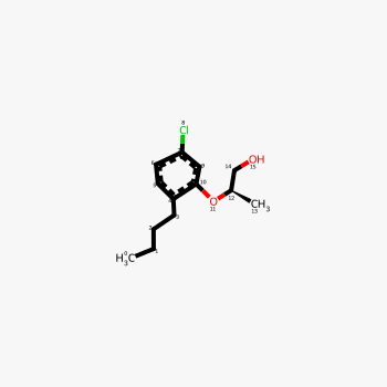 CCCCc1ccc(Cl)cc1O[C@H](C)CO